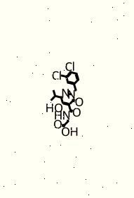 CC(C)c1nn(Cc2ccc(Cl)c(Cl)c2)c(=O)c(C(=O)NCC(=O)O)c1O